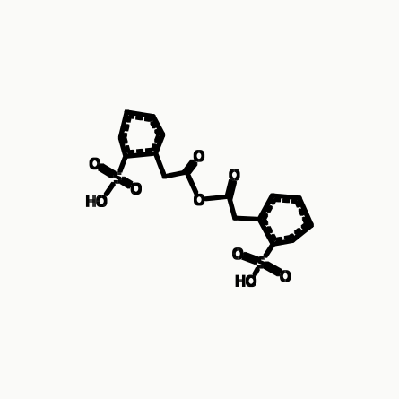 O=C(Cc1ccccc1S(=O)(=O)O)OC(=O)Cc1ccccc1S(=O)(=O)O